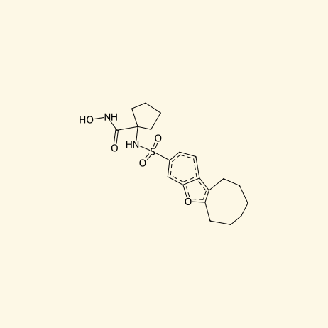 O=C(NO)C1(NS(=O)(=O)c2ccc3c4c(oc3c2)CCCCCC4)CCCC1